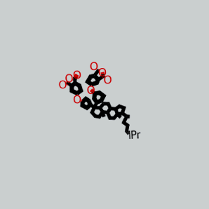 CC(C)CCCC(C)C1CCC2C3CCC4C(c5ccc(Oc6ccc7c(c6)C(=O)OC7=O)cc5)(c5cccc(Oc6ccc7c(c6)C(=O)OC7=O)c5)CCCC4(C)C3CCC12C